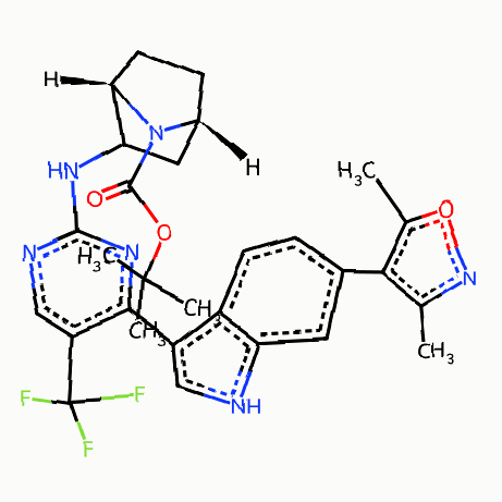 Cc1noc(C)c1-c1ccc2c(-c3nc(NC4C[C@H]5CC[C@@H]4N5C(=O)OC(C)(C)C)ncc3C(F)(F)F)c[nH]c2c1